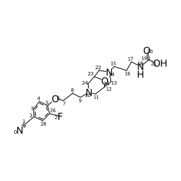 N#Cc1ccc(OCCCN2CC3CN(CCCNC(=O)O)CC(C2)O3)c(F)c1